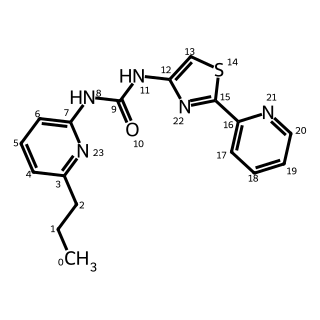 CCCc1cccc(NC(=O)Nc2csc(-c3ccccn3)n2)n1